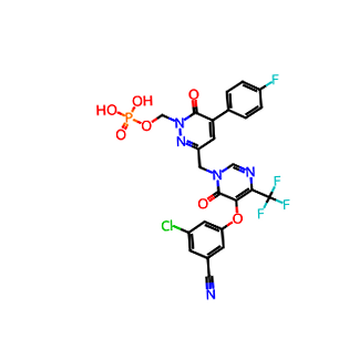 N#Cc1cc(Cl)cc(Oc2c(C(F)(F)F)ncn(Cc3cc(-c4ccc(F)cc4)c(=O)n(COP(=O)(O)O)n3)c2=O)c1